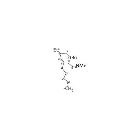 C=CCCCC(=CC(CC)CC(C)(C)C)CCNC